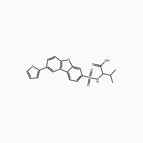 CC(C)C(NS(=O)(=O)c1ccc2c(c1)oc1ccc(-c3ccco3)cc12)C(=O)O